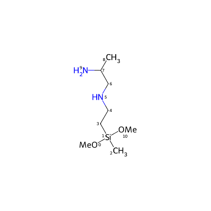 CO[Si](C)(CCNCC(C)N)OC